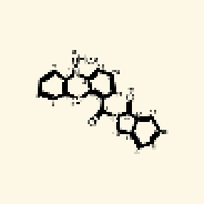 CCCCCCN1c2ccc[c]c2Sc2c(C(=O)N3Cc4ccccc4C3=O)cccc21